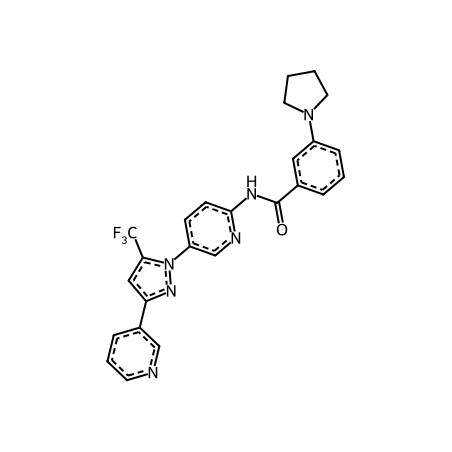 O=C(Nc1ccc(-n2nc(-c3cccnc3)cc2C(F)(F)F)cn1)c1cccc(N2CCCC2)c1